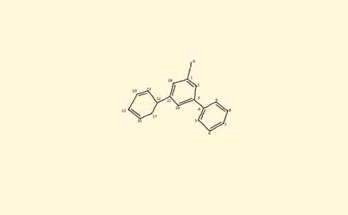 Ic1cc(-c2ccccc2)cc(C2C=CC=CC2)c1